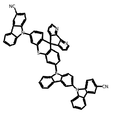 N#Cc1ccc2c(c1)c1ccccc1n2-c1ccc2c(c1)Sc1cc(-n3c4ccccc4c4cc(-n5c6ccccc6c6cc(C#N)ccc65)ccc43)ccc1C21c2cccnc2-c2ncccc21